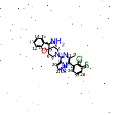 Cc1nc(N2CCC3(CC2)Oc2ccccc2[C@H]3N)c2ccnn2c1-c1cccc(F)c1Cl